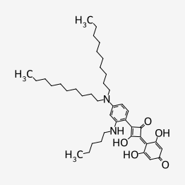 CCCCCCCCCCN(CCCCCCCCCC)c1ccc(C2=C(O)C(=C3C(O)=CC(=O)C=C3O)C2=O)c(NCCCCC)c1